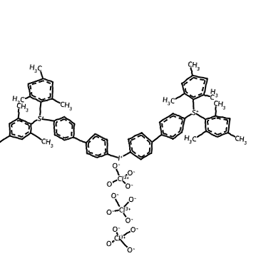 Cc1cc(C)c([S+](c2ccc(-c3ccc([I+]c4ccc(-c5ccc([S+](c6c(C)cc(C)cc6C)c6c(C)cc(C)cc6C)cc5)cc4)cc3)cc2)c2c(C)cc(C)cc2C)c(C)c1.[O-][Cl+3]([O-])([O-])[O-].[O-][Cl+3]([O-])([O-])[O-].[O-][Cl+3]([O-])([O-])[O-]